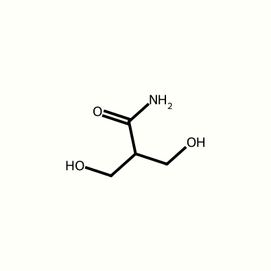 NC(=O)C(CO)CO